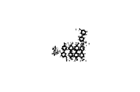 Nc1ccc(-c2ccc(N)cc2)cc1.Nc1ccc(-c2ccc(N)cc2)cc1.Nc1ccc(-c2ccc(N)cc2)cc1.Nc1ccc(-c2cccc(N)c2)cc1.Nc1cccc(-c2cccc(N)c2)c1.O.O.O=[SH](=O)[SH](=O)=O